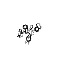 CC(C)(C)OC(=O)N1CC(CN2CCC(F)(F)CC2)N(C(=O)Nc2ccc(F)c(Cl)c2)c2ccccc21